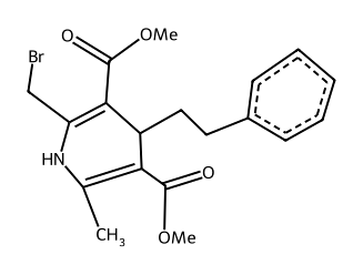 COC(=O)C1=C(C)NC(CBr)=C(C(=O)OC)C1CCc1ccccc1